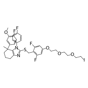 COc1cc(C2(C)CCCc3nc(SCc4c(F)cc(OCCOCCOCCI)cc4F)n(-c4ccc(F)cc4)c32)ccc1F